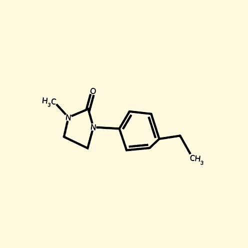 CCc1ccc(N2CCN(C)C2=O)cc1